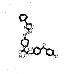 CC(C)(Oc1ccc(C(=O)c2ccc(Cl)cc2)cc1)C(=O)N1CCC(=NNc2nc(-c3ccccc3)cs2)CC1